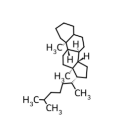 CC(C)CCCC(C)[C@H]1CC[C@H]2[C@@H]3CCC4CCCC[C@]4(C)[C@H]3CC[C@]12C